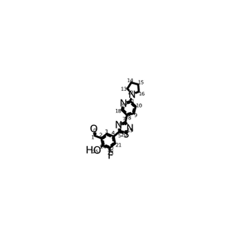 O=Cc1cc(-c2nc(-c3ccc(N4CCCC4)nc3)ns2)cc(F)c1O